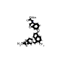 COC(=O)/C=C1\COc2cc(O[C@@H]3CCc4c3ccc(C(F)(F)F)c4CN3CCc4nc(C)sc4C3)ccc21